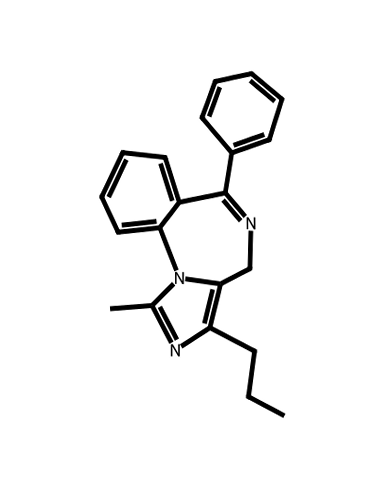 CCCc1nc(C)n2c1CN=C(c1ccccc1)c1ccccc1-2